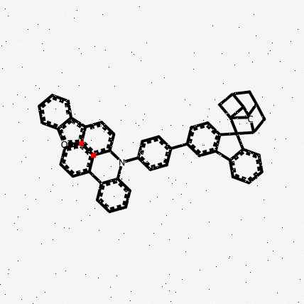 c1ccc(-c2ccccc2N(c2ccc(-c3ccc4c(c3)-c3ccccc3C43C4CC5CC6CC3(C5)C6C4)cc2)c2ccc3c(c2)oc2ccccc23)cc1